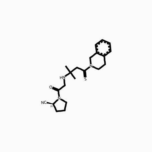 CC(C)(CC(=S)N1CCc2ccccc2C1)NCC(=O)N1CCC[C@H]1C#N